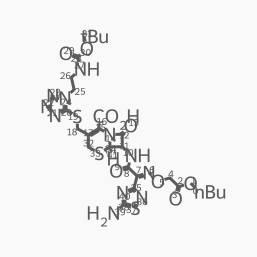 CCCCOC(=O)CON=C(C(=O)NC1C(=O)N2C(C(=O)O)=C(CSc3nnnn3CCNC(=O)OC(C)(C)C)CS[C@@H]12)c1nsc(N)n1